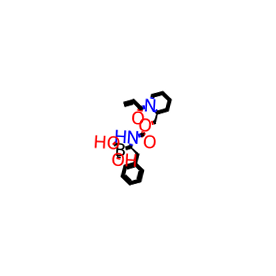 C=CC(=O)N1CCCC[C@H]1COC(=O)N[C@@H](Cc1ccccc1)B(O)O